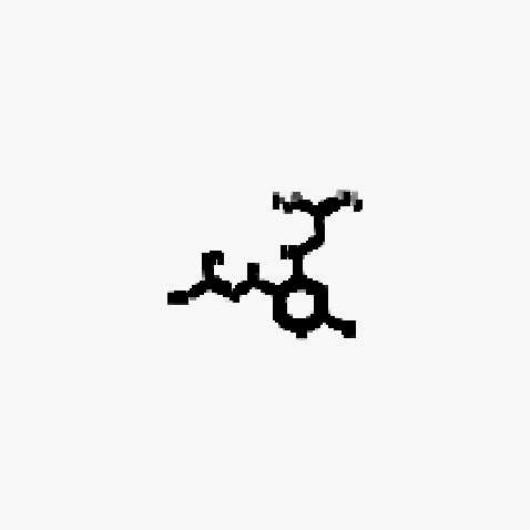 C=C(C)CNc1cc(Cl)nnc1NN=C(CCC)CCC